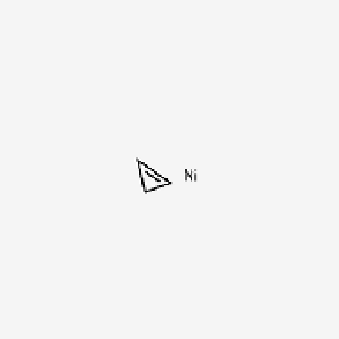 C1=CC1.[Ni]